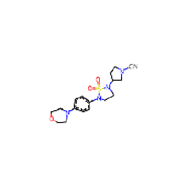 N#CN1CCC(N2CCN(c3ccc(N4CCOCC4)cc3)S2(=O)=O)C1